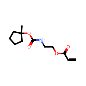 C=CC(=O)OCCNC(=O)OC1(C)CCCC1